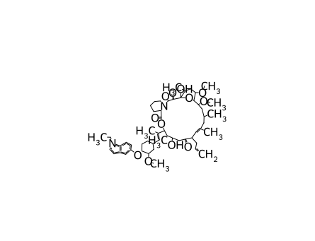 C=CCC1/C=C(\C)CC(C)CC(OC)C2OC(O)(C(=O)C(=O)N3CCCCC3C(=O)OC(C(C)=CC3CCC(Oc4ccc5c(ccn5CC)c4)C(OC)C3)C(C)C(O)CC1=O)C(C)CC2OC